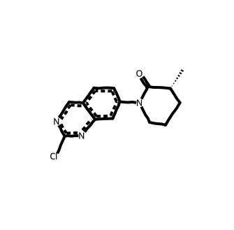 C[C@@H]1CCCN(c2ccc3cnc(Cl)nc3c2)C1=O